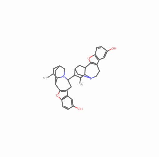 CCCC1CC2CC3c4oc5ccc(O)cc5c4CC(C4C5CC6c7oc8ccc(O)cc8c7CCN(C5)C6C4CCC)N(C2)C13